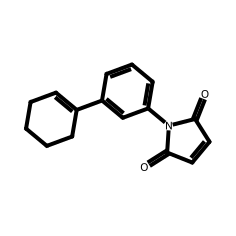 O=C1C=CC(=O)N1c1cccc(C2=CCCCC2)c1